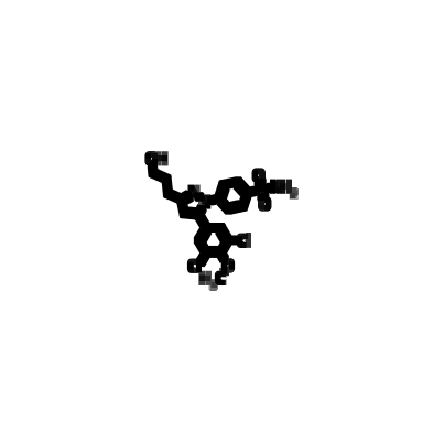 COc1c(Cl)cc(-c2cc(CCCO)nn2-c2ccc(S(N)(=O)=O)cc2)cc1Cl